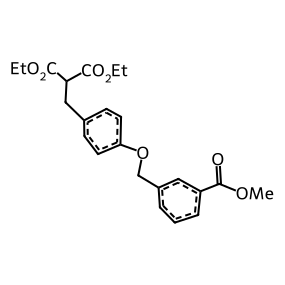 CCOC(=O)C(Cc1ccc(OCc2cccc(C(=O)OC)c2)cc1)C(=O)OCC